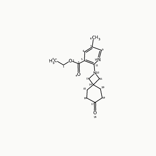 CCOC(=O)c1cc(C)cnc1N1CC2(CCC(=O)CC2)C1